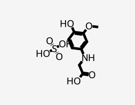 COc1cc(NCC(=O)O)ccc1O.O=S(=O)(O)O